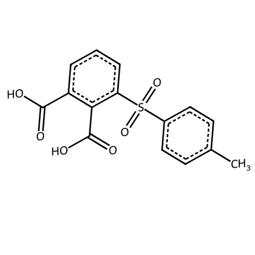 Cc1ccc(S(=O)(=O)c2cccc(C(=O)O)c2C(=O)O)cc1